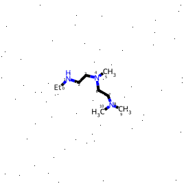 CCNCCN(C)CCN(C)C